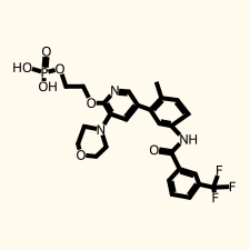 Cc1ccc(NC(=O)c2cccc(C(F)(F)F)c2)cc1-c1cnc(OCCOP(=O)(O)O)c(N2CCOCC2)c1